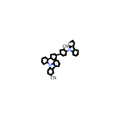 N#Cc1ccc2c(c1)c1ccccc1n2-c1ccccc1-c1ccc(-c2ccc(-n3c4ccccc4c4ccccc43)c(C#N)c2)cc1